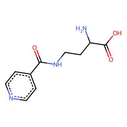 NC(CCNC(=O)c1ccncc1)C(=O)O